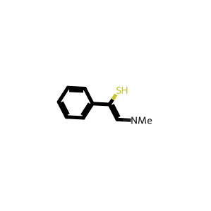 CN/C=C(\S)c1ccccc1